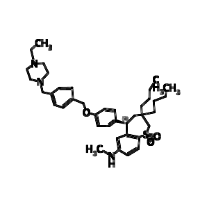 CCCCC1(CCCC)C[C@H](c2ccc(OCc3ccc(CN4CCN(CC)CC4)cc3)cc2)c2cc(NC)ccc2S(=O)(=O)C1